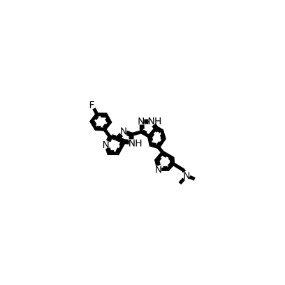 CN(C)Cc1cncc(-c2ccc3[nH]nc(-c4nc5c(-c6ccc(F)cc6)nccc5[nH]4)c3c2)c1